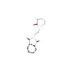 CC1CCCN(CCN2C(=O)c3ccccc3C2=O)C1=O